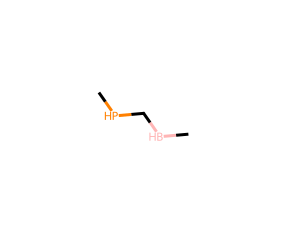 CBCPC